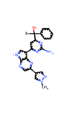 CCC(O)(c1ccccc1)c1cc(-c2c[nH]c3ncc(-c4cnn(C)c4)nc23)nc(N)n1